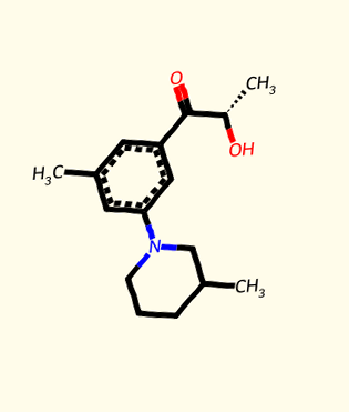 Cc1cc(C(=O)[C@H](C)O)cc(N2CCCC(C)C2)c1